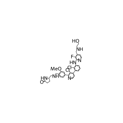 COc1cc(-c2nccc(-c3cccc(Nc4nccc(CNCCO)c4F)c3Cl)c2Cl)ccc1CNCC1CCC(=O)N1